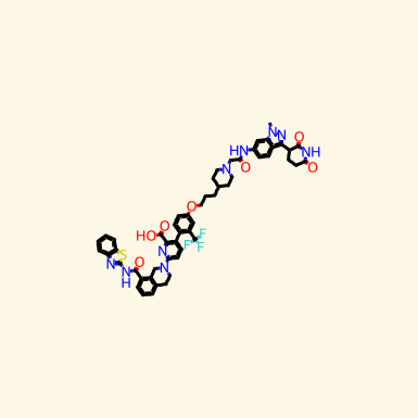 Cn1nc(C2CCC(=O)NC2=O)c2ccc(NC(=O)CN3CCC(CCCOc4ccc(-c5ccc(N6CCc7cccc(C(=O)Nc8nc9ccccc9s8)c7C6)nc5C(=O)O)c(C(F)(F)F)c4)CC3)cc21